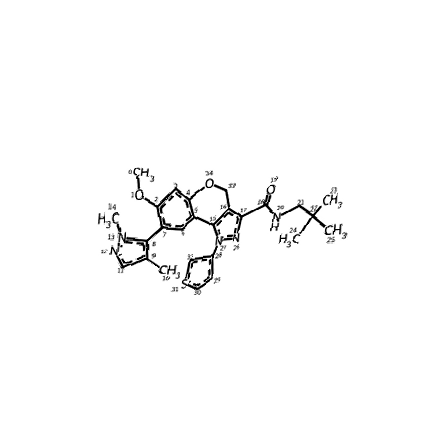 COc1cc2c(cc1-c1c(C)cnn1C)-c1c(c(C(=O)NCC(C)(C)C)nn1-c1ccsc1)CO2